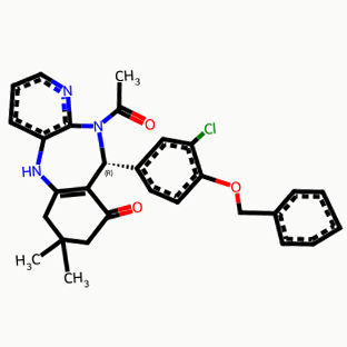 CC(=O)N1c2ncccc2NC2=C(C(=O)CC(C)(C)C2)[C@H]1c1ccc(OCc2ccccc2)c(Cl)c1